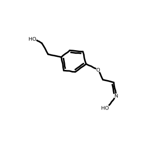 OCCc1ccc(OC/C=N\O)cc1